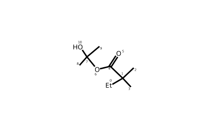 CCC(C)(C)C(=O)OC(C)(C)O